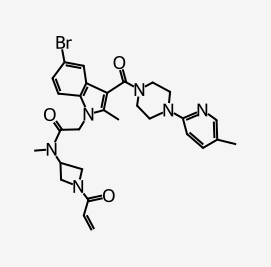 C=CC(=O)N1CC(N(C)C(=O)Cn2c(C)c(C(=O)N3CCN(c4ccc(C)cn4)CC3)c3cc(Br)ccc32)C1